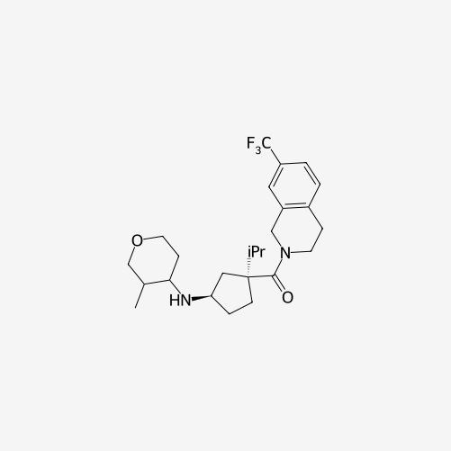 CC1COCCC1N[C@@H]1CC[C@@](C(=O)N2CCc3ccc(C(F)(F)F)cc3C2)(C(C)C)C1